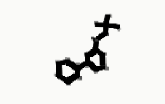 CC(C)(C)COc1cncc(-c2ccccc2)c1